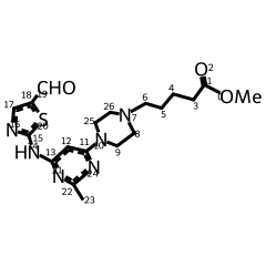 COC(=O)CCCCN1CCN(c2cc(Nc3ncc(C=O)s3)nc(C)n2)CC1